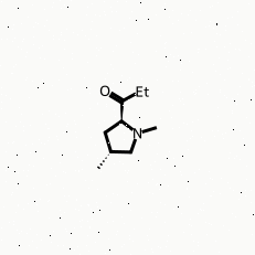 CCC(=O)[C@@H]1C[C@@H](C)CN1C